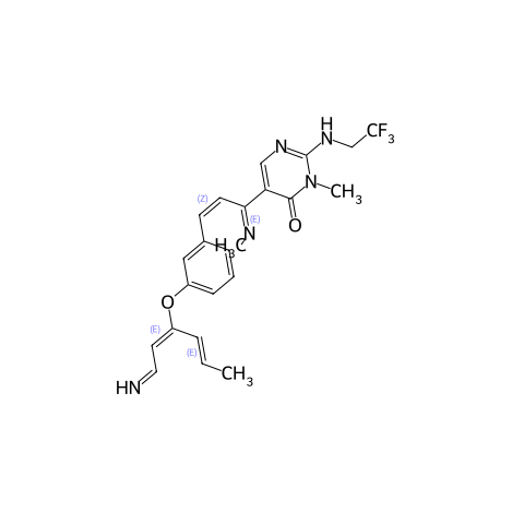 C/C=C/C(=C\C=N)Oc1cccc(/C=C\C(=N/C)c2cnc(NCC(F)(F)F)n(C)c2=O)c1